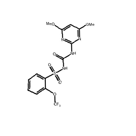 COc1cc(OC)nc(NC(=O)NS(=O)(=O)c2ccccc2OC(F)(F)F)n1